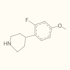 COc1ccc(C2CCNCC2)c(F)c1